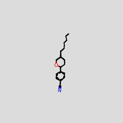 CCCCCCC1CCC(c2ccc(C#N)cc2)OC1